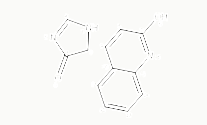 O=C1CNC=N1.Oc1ccc2ccccc2n1